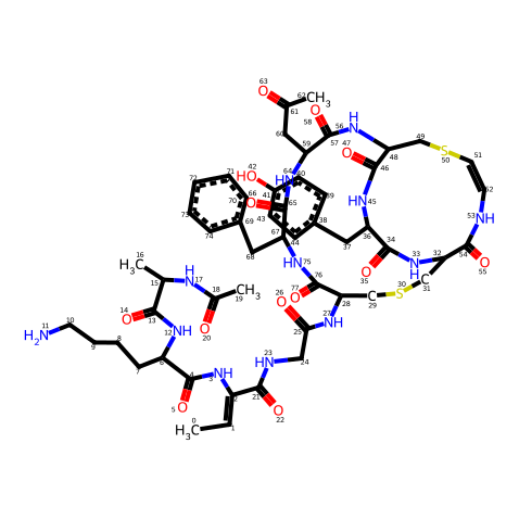 C/C=C(\NC(=O)C(CCCCN)NC(=O)C(C)NC(C)=O)C(=O)NCC(=O)NC1CSCC2NC(=O)C(Cc3ccc(O)cc3)NC(=O)C(CS/C=C\NC2=O)NC(=O)C(CC(C)=O)NC(=O)C(Cc2ccccc2)NC1=O